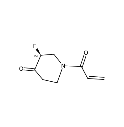 C=CC(=O)N1CCC(=O)[C@@H](F)C1